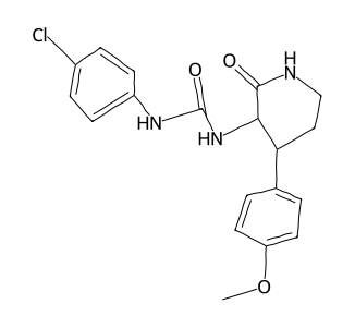 COc1ccc(C2CCNC(=O)C2NC(=O)Nc2ccc(Cl)cc2)cc1